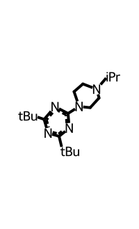 CC(C)N1CCN(c2nc(C(C)(C)C)nc(C(C)(C)C)n2)CC1